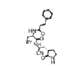 CC(C)CC(NC(=O)/C=C/c1ccccc1)C(=O)NC(C#N)C[C@@H]1CCNC1=O